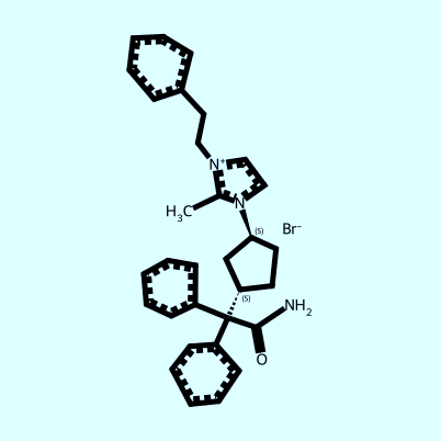 Cc1n([C@H]2CC[C@H](C(C(N)=O)(c3ccccc3)c3ccccc3)C2)cc[n+]1CCc1ccccc1.[Br-]